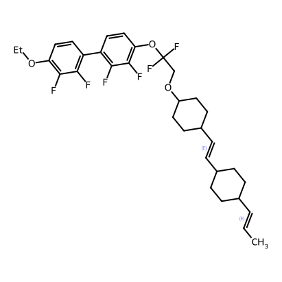 C/C=C/C1CCC(/C=C/C2CCC(OCC(F)(F)Oc3ccc(-c4ccc(OCC)c(F)c4F)c(F)c3F)CC2)CC1